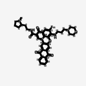 CN1CCCC1CCNC(=O)c1cn2c3cc4c(=O)c5ccccc5c(=O)c4cc3oc3c(NCCCN4CCOCC4)c(F)cc(c1=O)c32